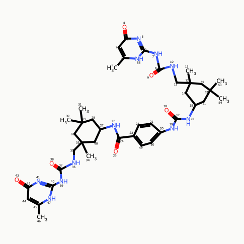 Cc1cc(=O)nc(NC(=O)NCC2(C)CC(NC(=O)Nc3ccc(C(=O)NC4CC(C)(C)CC(C)(CNC(=O)Nc5nc(=O)cc(C)[nH]5)C4)cc3)CC(C)(C)C2)[nH]1